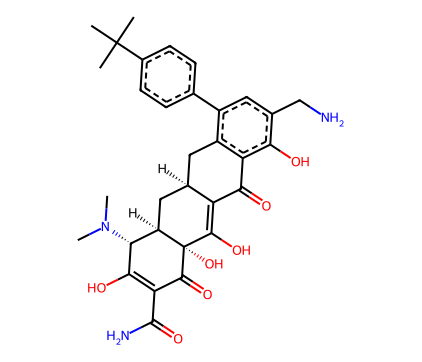 CN(C)[C@H]1C(O)=C(C(N)=O)C(=O)[C@]2(O)C(O)=C3C(=O)c4c(O)c(CN)cc(-c5ccc(C(C)(C)C)cc5)c4C[C@@H]3C[C@H]12